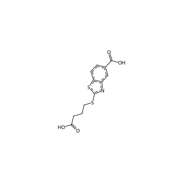 O=C(O)CCCSc1nc2cc(C(=O)O)ccc2s1